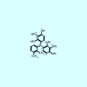 CCCc1ccc(P(c2cccc(C)c2C)c2ccc(CCC)c(CCC)c2CCC)c(CCC)c1CCC